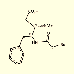 CN[C@@H](CC(=O)O)[C@H](Cc1ccccc1)NC(=O)OC(C)(C)C